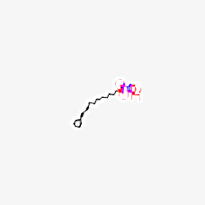 O=C(C(O)CCCCCCCCCC#CC#Cc1ccccc1)N1CCOCC1